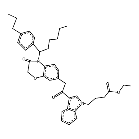 CCCCCC(c1ccc(CCC)cc1)N1C(=O)COc2cc(CC(=O)c3cn(CCCC(=O)OCC)c4ccccc34)ccc21